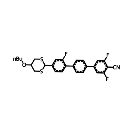 CCCCOC1CSC(c2ccc(-c3ccc(-c4cc(F)c(C#N)c(F)c4)cc3)c(F)c2)SC1